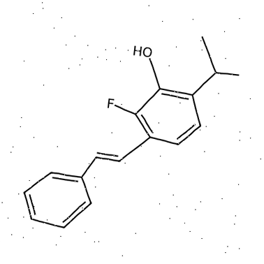 CC(C)c1ccc(/C=C/c2ccccc2)c(F)c1O